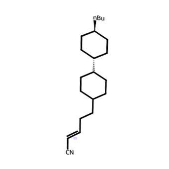 CCCC[C@H]1CC[C@H](C2CCC(CC/C=C/C#N)CC2)CC1